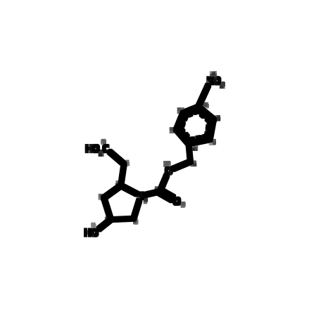 O=C(O)CC1CC(O)CN1C(=O)OCc1ccc([N+](=O)[O-])cc1